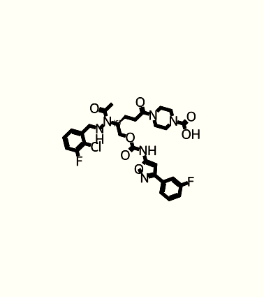 CC(=O)N(NCc1cccc(F)c1Cl)[C@@H](CCC(=O)N1CCN(C(=O)O)CC1)COC(=O)Nc1cc(-c2cccc(F)c2)no1